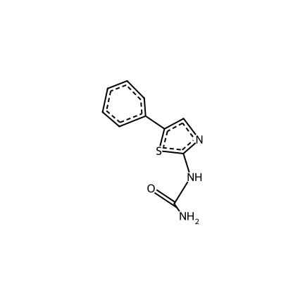 NC(=O)Nc1ncc(-c2ccccc2)s1